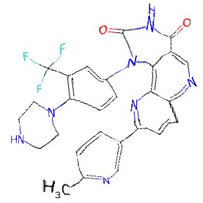 Cc1ccc(-c2ccc3ncc4c(=O)[nH]c(=O)n(-c5ccc(N6CCNCC6)c(C(F)(F)F)c5)c4c3n2)cn1